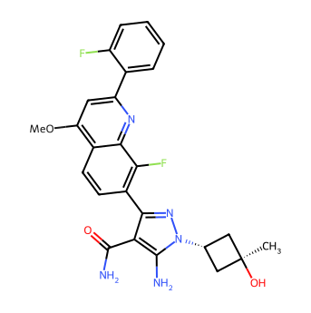 COc1cc(-c2ccccc2F)nc2c(F)c(-c3nn([C@H]4C[C@](C)(O)C4)c(N)c3C(N)=O)ccc12